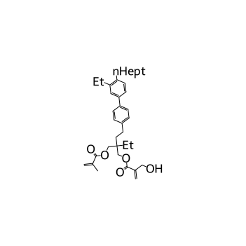 C=C(C)C(=O)OCC(CC)(CCc1ccc(-c2ccc(CCCCCCC)c(CC)c2)cc1)COC(=O)C(=C)CO